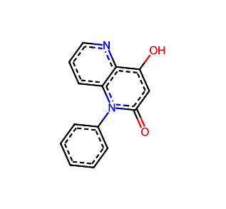 O=c1cc(O)c2ncccc2n1-c1ccccc1